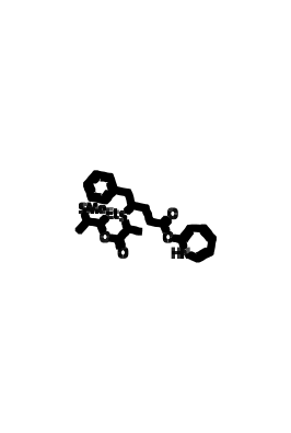 CCC(OC(=O)C(C)SC(CCC(=O)OC1=CC=CC=CN1)Cc1ccccc1)C(C)SC